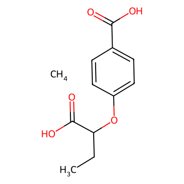 C.CCC(Oc1ccc(C(=O)O)cc1)C(=O)O